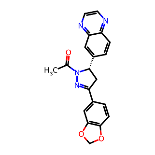 CC(=O)N1N=C(c2ccc3c(c2)OCO3)C[C@H]1c1ccc2nccnc2c1